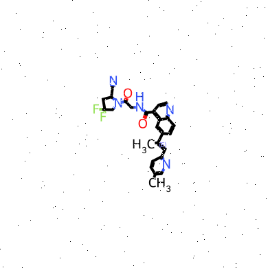 C/C(=C\c1ccc(C)cn1)c1ccc2nccc(C(=O)NCC(=O)N3CC(F)(F)CC3C#N)c2c1